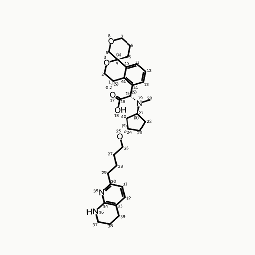 C[C@@H]1CO[C@@]2(CCCOC2)c2cccc([C@@H](C(=O)O)N(C)[C@H]3CC[C@H](OCCCCc4ccc5c(n4)NCCC5)C3)c21